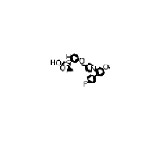 COc1ccc(-c2ccc(F)cc2)c(N2CCC(COc3cccc([Si@@H](CC(=O)O)C4CC4)c3)CC2)c1